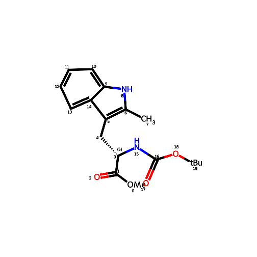 COC(=O)[C@H](Cc1c(C)[nH]c2ccccc12)NC(=O)OC(C)(C)C